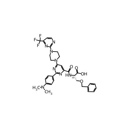 CN(C)c1ccc(-c2nc(C(=O)N[C@@H](COCc3ccccc3)C(=O)O)cc(N3CCN(c4nccc(C(F)(F)F)n4)CC3)n2)cc1